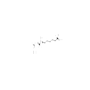 CC(C)OC(=O)NCCCCCC(=O)O